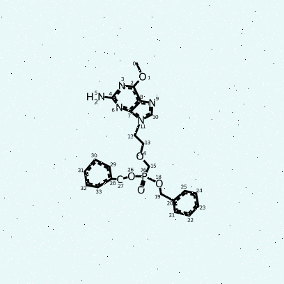 COc1nc(N)nc2c1ncn2CCOCP(=O)(OCc1ccccc1)OCc1ccccc1